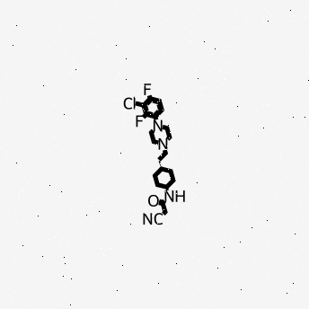 N#CCC(=O)N[C@H]1CC[C@H](CCN2CCN(c3ccc(F)c(Cl)c3F)CC2)CC1